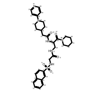 O=C(CNS(=O)(=O)c1ccc2ccccc2c1)NCC(NC(=O)CC1CCN(c2ccncc2)CC1)C(=O)N1CCCCC1